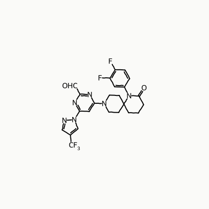 O=Cc1nc(N2CCC3(CCCC(=O)N3c3ccc(F)c(F)c3)CC2)cc(-n2cc(C(F)(F)F)cn2)n1